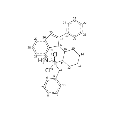 [NH2][Ti]([Cl])([Cl])([CH2]c1ccccc1)[CH]1CCCCC1C1C(c2ccccc2)=Cc2ccccc21